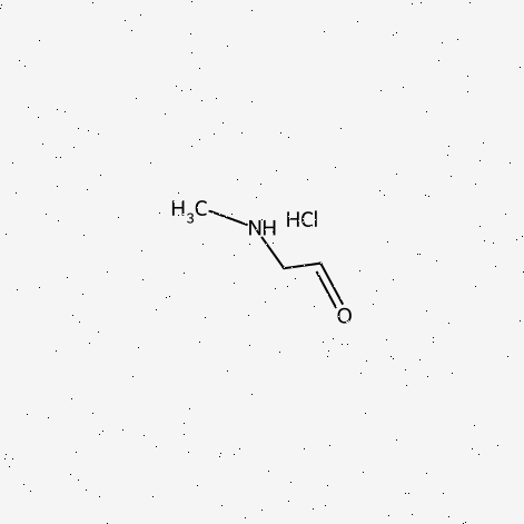 CNCC=O.Cl